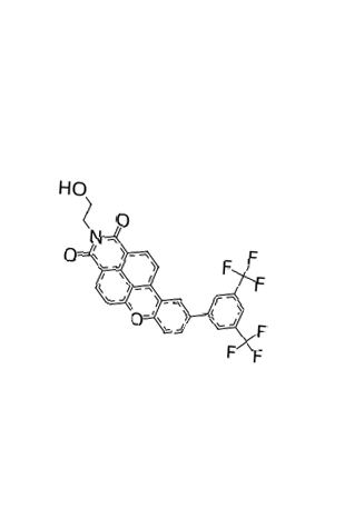 O=c1c2ccc3oc4ccc(-c5cc(C(F)(F)F)cc(C(F)(F)F)c5)cc4c4ccc(c(=O)n1CCO)c2c34